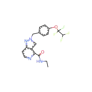 CCNC(=O)c1nccc2nn(Cc3ccc(OC(F)(F)C(F)F)cc3)cc12